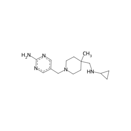 CC1(CNC2CC2)CCN(Cc2cnc(N)nc2)CC1